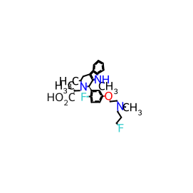 Cc1c(OCCN(C)CCCF)ccc(F)c1[C@@H]1c2[nH]c3ccccc3c2C[C@H](C)N1C[C@@H](C)C(=O)O